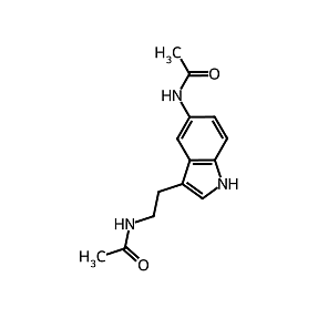 CC(=O)NCCc1c[nH]c2ccc(NC(C)=O)cc12